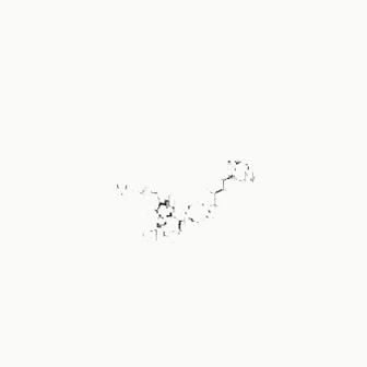 CCCC1CN(C(C)/C(C)=C/C=C2\CN=CC=N2)CCN1/C(=C/C=O)c1nc(COC)cn1N(C)C